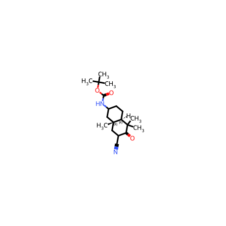 CC(C)(C)OC(=O)NC1CC[C@H]2C(C)(C)C(=O)C(C#N)C[C@]2(C)C1